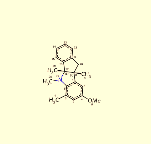 COc1cc(C)c2c(c1)[C@@]1(C)Cc3ccccc3[C@@]1(C)N2C